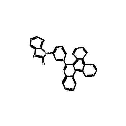 CCc1nc2ccccc2n1-c1cccc(-c2nc3ccccc3c3c4ccccc4c4ccccc4c23)c1